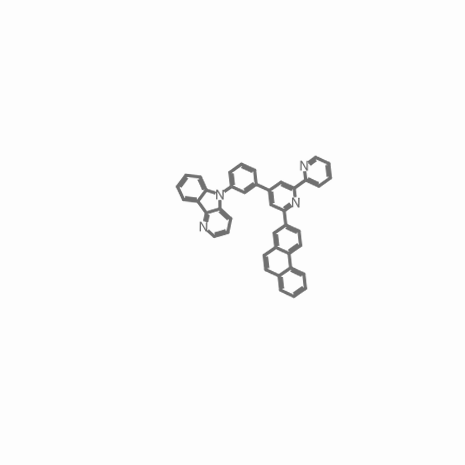 c1ccc(-c2cc(-c3cccc(-n4c5ccccc5c5ncccc54)c3)cc(-c3ccc4c(ccc5ccccc54)c3)n2)nc1